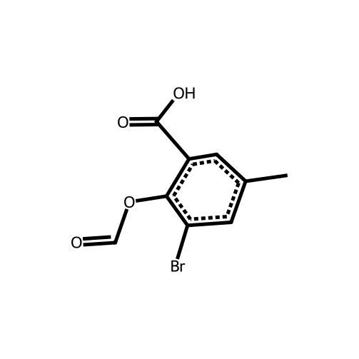 Cc1cc(Br)c(OC=O)c(C(=O)O)c1